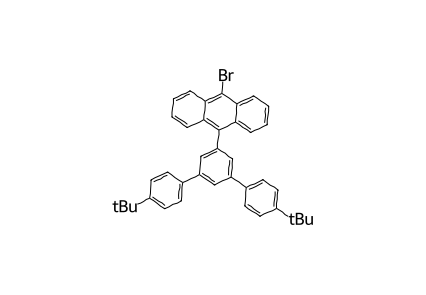 CC(C)(C)c1ccc(-c2cc(-c3ccc(C(C)(C)C)cc3)cc(-c3c4ccccc4c(Br)c4ccccc34)c2)cc1